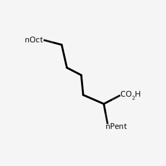 CCCCCCCCCCCCC(CCCCC)C(=O)O